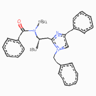 CCCCN(C(=O)c1ccccc1)[C@@H](c1nc(-c2ccccc2)cn1Cc1ccccc1)C(C)(C)C